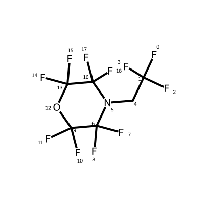 FC(F)(F)CN1C(F)(F)C(F)(F)OC(F)(F)C1(F)F